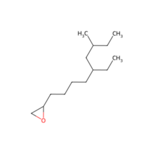 CCC(C)CC(CC)CCCCC1CO1